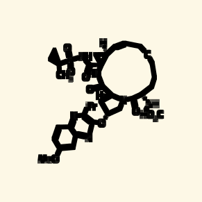 COc1ccc2nc(C(C)C)c(O[C@@H]3C[C@H]4C(=O)N[C@]5(C(=O)NS(=O)(=O)C6(C)CC6)C[C@H]5/C=C\CCCCC[C@H](NC(=O)O)C(=O)N4C3)nc2c1